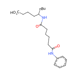 CCCCC(CCCC(=O)O)NC(=O)CCCCC(=O)Nc1ccccc1